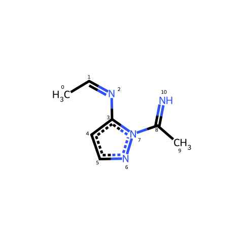 C/C=N\c1ccnn1C(C)=N